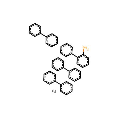 Pc1ccccc1-c1ccccc1.[Pd].c1ccc(-c2ccccc2)cc1.c1ccc(-c2ccccc2)cc1.c1ccc(-c2ccccc2)cc1